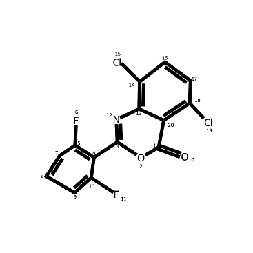 O=c1oc(-c2c(F)cccc2F)nc2c(Cl)ccc(Cl)c12